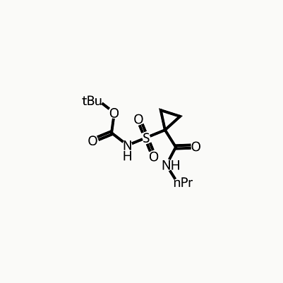 CCCNC(=O)C1(S(=O)(=O)NC(=O)OC(C)(C)C)CC1